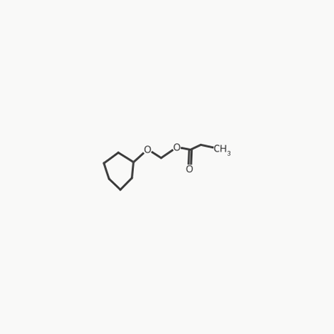 CCC(=O)OCOC1CCCCC1